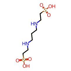 O=S(=O)(O)CCNCCCNCCS(=O)(=O)O